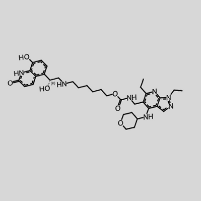 CCc1nc2c(cnn2CC)c(NC2CCOCC2)c1CNC(=O)OCCCCCCNC[C@H](O)c1ccc(O)c2[nH]c(=O)ccc12